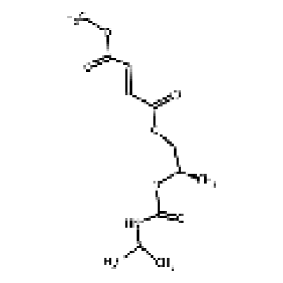 COC(=O)/C=C/C(=O)OC[C@@H](C)OC(=O)NC(C)C